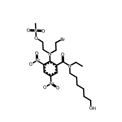 CCN(CCCCCCO)C(=O)c1cc([N+](=O)[O-])cc([N+](=O)[O-])c1N(CCBr)CCOS(C)(=O)=O